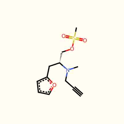 C#CCN(C)[C@@H](COS(C)(=O)=O)Cc1ccco1